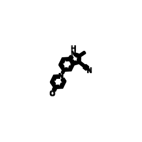 Cc1[nH]c2ccc(-n3ccc(=O)cc3)cc2c1C#N